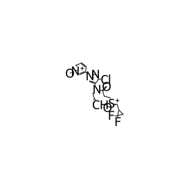 C#CCN(C(=O)CC[S+]([O-])CC1CC1(F)F)c1cn(-c2ccc[n+]([O-])c2)nc1Cl